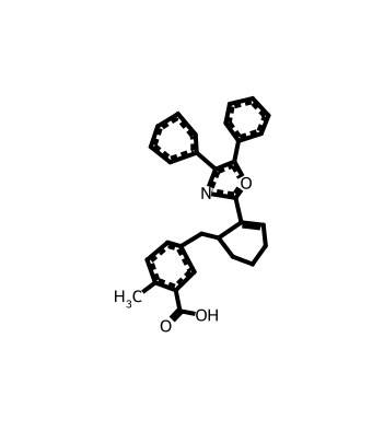 Cc1ccc(CC2CCCC=C2c2nc(-c3ccccc3)c(-c3ccccc3)o2)cc1C(=O)O